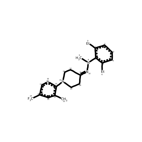 CCc1cccc(CC)c1N(C)N=C1CCN(c2ncc(C(F)(F)F)cc2C)CC1